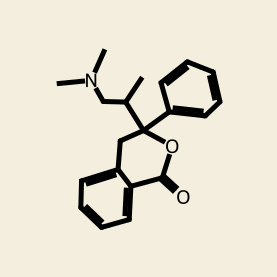 CC(CN(C)C)C1(c2ccccc2)Cc2ccccc2C(=O)O1